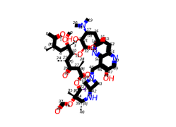 CO[C@](C)(C[C@@H](C)C(C)=O)[C@H](O[C@@H]1O[C@H](C)C[C@H](N(C)C)[C@H]1O)[C@@H](C)C(=O)[C@@H](C)C(=O)O[C@H](I)[C@@](C)(OC=O)[C@@H](C)NC1CN(Cc2c(O)cnc3cccnc23)C1